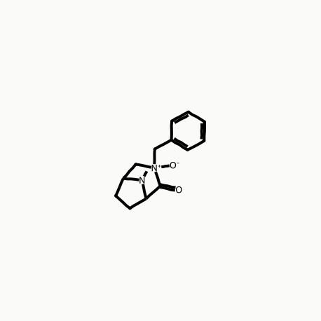 CN1C2CCC1C(=O)[N+]([O-])(Cc1ccccc1)C2